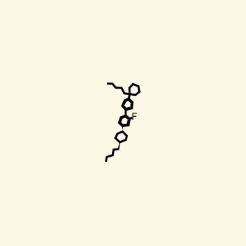 CCCCCC1(c2ccc(-c3ccc([C@H]4CC[C@H](CCCCC)CC4)cc3F)cc2)CCCCC1